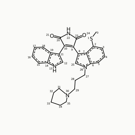 CSc1cccc2c1c(C1=C(c3c[nH]c4ccccc34)C(=O)NC1=O)cn2CCCN1CCCCC1